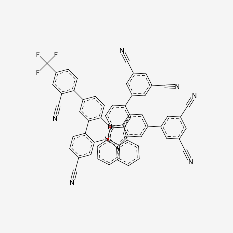 N#Cc1cc(C#N)cc(-c2ccc3c(c2)c2ccccc2n3-c2ccc(-c3ccc(C(F)(F)F)cc3C#N)cc2-c2ccc(C#N)cc2-n2c3ccccc3c3cc(-c4cc(C#N)cc(C#N)c4)ccc32)c1